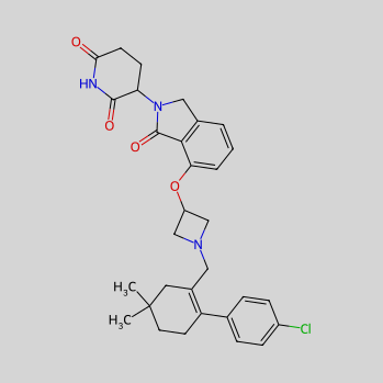 CC1(C)CCC(c2ccc(Cl)cc2)=C(CN2CC(Oc3cccc4c3C(=O)N(C3CCC(=O)NC3=O)C4)C2)C1